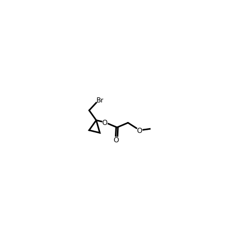 COCC(=O)OC1(CBr)CC1